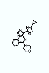 c1ccc2c(c1)c(N1CCOCC1)nc1c(-c3nc(C4CC4)no3)ncn12